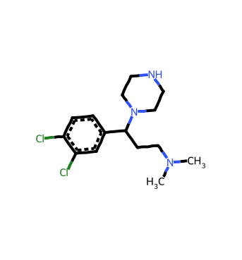 CN(C)CCC(c1ccc(Cl)c(Cl)c1)N1CCNCC1